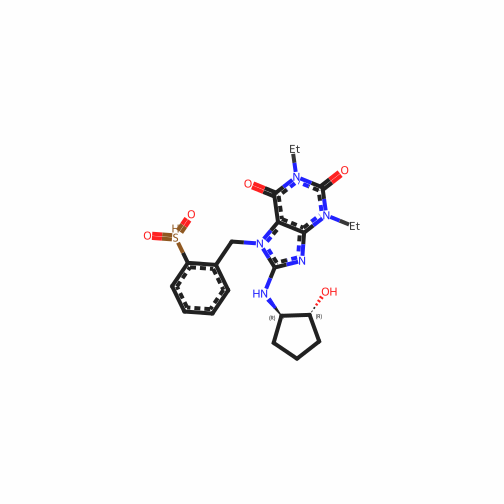 CCn1c(=O)c2c(nc(N[C@@H]3CCC[C@H]3O)n2Cc2ccccc2[SH](=O)=O)n(CC)c1=O